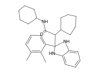 Cc1cccc(C2(C(C(=O)NC3CCCCC3)C3CCCCC3)Nc3ccccc3N2)c1C